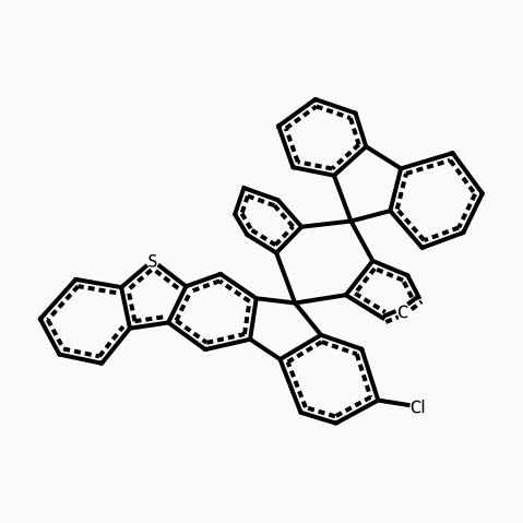 Clc1ccc2c(c1)C1(c3cc4sc5ccccc5c4cc3-2)c2ccccc2C2(c3ccccc3-c3ccccc32)c2ccccc21